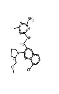 COC[C@H]1CCCN1c1nc2c(Cl)cccc2cc1[C@H](C)Nc1nc(C)nc(N)n1